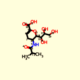 CC(C)C(=O)NC1CC=C(C(=O)O)OC1C(O)C(O)CO